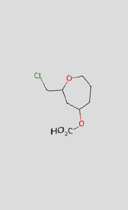 O=C(O)OC1CCCOC(CCl)C1